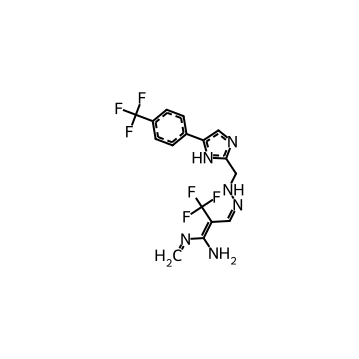 C=N/C(N)=C(/C=N\NCc1ncc(-c2ccc(C(F)(F)F)cc2)[nH]1)C(F)(F)F